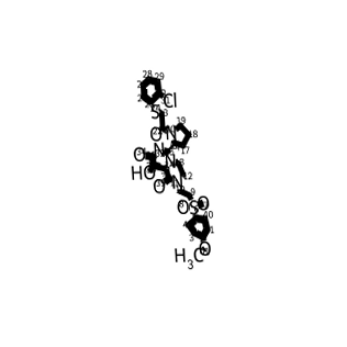 COc1ccc(S(=O)(=O)CCN2CCn3c([C@@H]4CCCN4C(=O)CSc4ccccc4Cl)nc(=O)c(O)c3C2=O)cc1